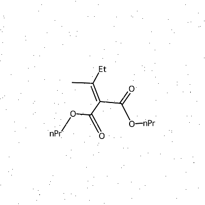 CCCOC(=O)C(C(=O)OCCC)=C(C)CC